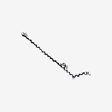 CCCCCC/C=C\CCCCCCC(CCCCCCCCCCCCCCCCCCCCCCCCCCCCCC)C(=O)O